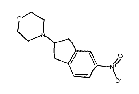 O=[N+]([O-])c1ccc2c(c1)CC(N1CCOCC1)C2